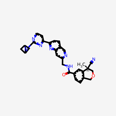 C[C@@]1(C#N)COCc2ccc(C(=O)NCc3cc4nc(-c5ccnc(N6CC7CC6C7)n5)ccc4cn3)cc21